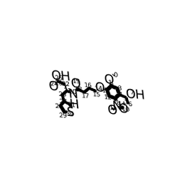 COc1cc(C(C)O)c([N+](=O)[O-])cc1OCCCC(=O)N[C@H](CC(=O)O)CC1C=CSC1